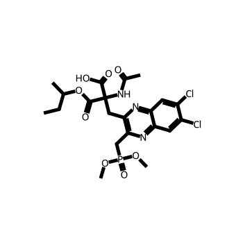 CCC(C)OC(=O)C(Cc1nc2cc(Cl)c(Cl)cc2nc1CP(=O)(OC)OC)(NC(C)=O)C(=O)O